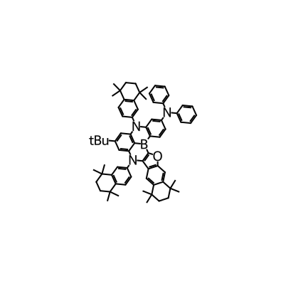 CC(C)(C)c1cc2c3c(c1)N(c1ccc4c(c1)C(C)(C)CCC4(C)C)c1c(oc4cc5c(cc14)C(C)(C)CCC5(C)C)B3c1ccc(N(c3ccccc3)c3ccccc3)cc1N2c1ccc2c(c1)C(C)(C)CCC2(C)C